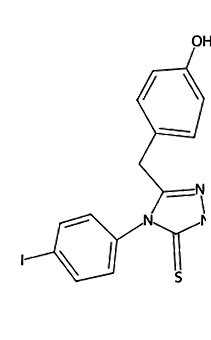 Oc1ccc(Cc2n[nH]c(=S)n2-c2ccc(I)cc2)cc1